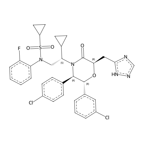 O=C1[C@@H](Cc2ncn[nH]2)O[C@H](c2cccc(Cl)c2)[C@@H](c2ccc(Cl)cc2)N1[C@H](CN(c1ccccc1F)S(=O)(=O)C1CC1)C1CC1